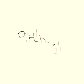 CNC(=N)NCCCC1NCC(C(=O)NC2CCCCC2)NC1=O